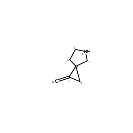 O=C1CC12CCNC2